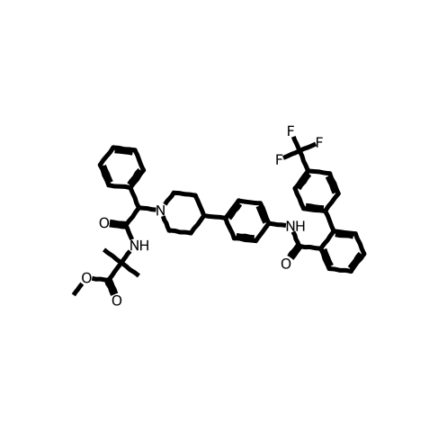 COC(=O)C(C)(C)NC(=O)C(c1ccccc1)N1CCC(c2ccc(NC(=O)c3ccccc3-c3ccc(C(F)(F)F)cc3)cc2)CC1